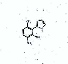 Nc1ccc(C(F)(F)F)c(-c2cnc[nH]2)c1N